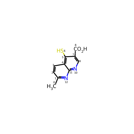 Cc1ccc2c(S)c(C(=O)O)cnc2n1